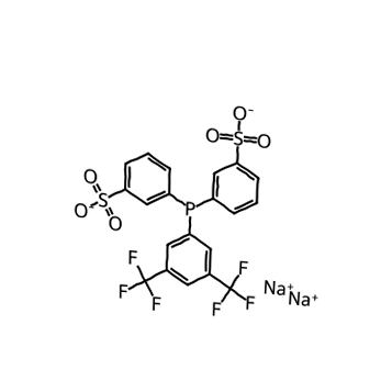 O=S(=O)([O-])c1cccc(P(c2cc(C(F)(F)F)cc(C(F)(F)F)c2)c2cccc(S(=O)(=O)[O-])c2)c1.[Na+].[Na+]